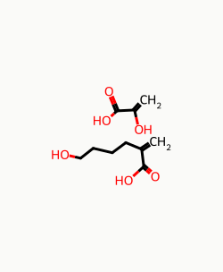 C=C(CCCCO)C(=O)O.C=C(O)C(=O)O